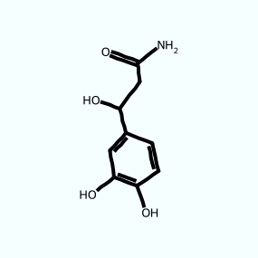 NC(=O)CC(O)c1ccc(O)c(O)c1